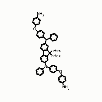 CCCCCCC1(CCCCCC)c2cc(C(c3ccccc3)c3ccc(Oc4ccc(N)cc4)cc3)ccc2-c2ccc(N(c3ccccc3)c3ccc(Oc4ccc(N)cc4)cc3)cc21